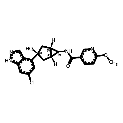 COc1ccc(C(=O)N[C@H]2[C@@H]3C[C@](O)(c4cc(Cl)cc5[nH]ncc45)C[C@@H]32)cn1